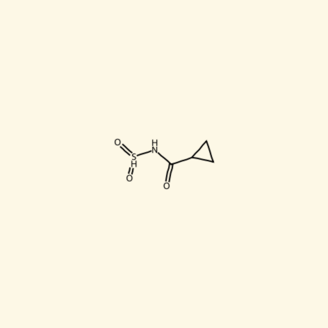 O=C(N[SH](=O)=O)C1CC1